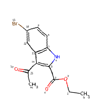 CCOC(=O)c1[nH]c2ccc(Br)cc2c1C(C)=O